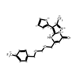 O=c1cc(COCOCc2ccc(C(F)(F)F)cc2)[nH]c2c(-c3cccs3)c(C(F)(F)F)nn12